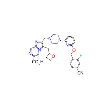 N#Cc1ccc(COc2cccc(N3CCN(Cc4nc5cnc(C(=O)O)cn5c4CC4CCO4)CC3)n2)c(F)c1